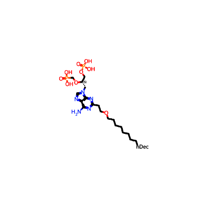 CCCCCCCCCCCCCCCCCCOCCc1nc(N)c2ncn(C[C@@H](COP(=O)(O)O)OCP(=O)(O)O)c2n1